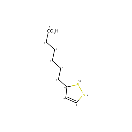 O=C(O)CCCCCC1C=CSS1